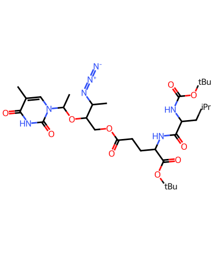 Cc1cn(C(C)OC(COC(=O)CCC(NC(=O)C(CC(C)C)NC(=O)OC(C)(C)C)C(=O)OC(C)(C)C)C(C)N=[N+]=[N-])c(=O)[nH]c1=O